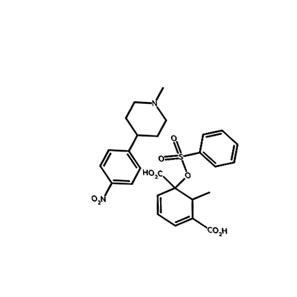 CC1C(C(=O)O)=CC=CC1(OS(=O)(=O)c1ccccc1)C(=O)O.CN1CCC(c2ccc([N+](=O)[O-])cc2)CC1